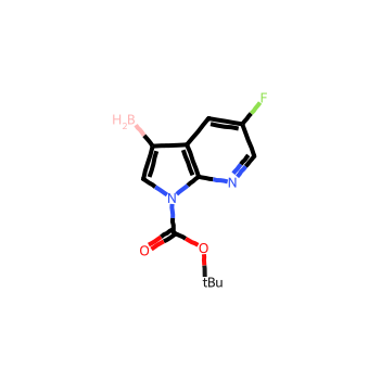 Bc1cn(C(=O)OC(C)(C)C)c2ncc(F)cc12